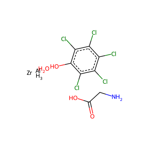 NCC(=O)O.O.Oc1c(Cl)c(Cl)c(Cl)c(Cl)c1Cl.[AlH3].[Zr]